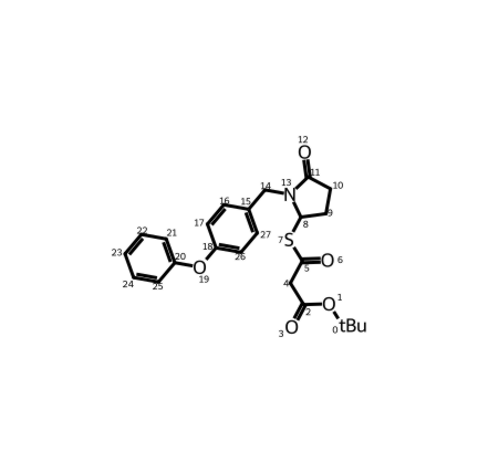 CC(C)(C)OC(=O)CC(=O)SC1CCC(=O)N1Cc1ccc(Oc2ccccc2)cc1